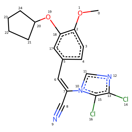 COc1ccc(C=C(C#N)n2cnc(Cl)c2Cl)cc1OC1CCCC1